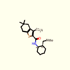 CNC[C@H]1CCCC[C@H]1NC(=O)c1sc2c(c1C(=O)O)CC(C)(C)CC2